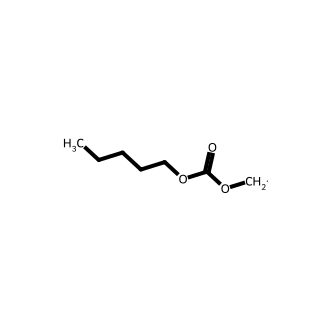 [CH2]OC(=O)OCCCCC